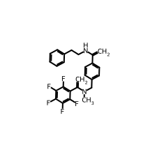 C=C(NCCc1ccccc1)c1ccc(CN(C)C(=C)c2c(F)c(F)c(F)c(F)c2F)cc1